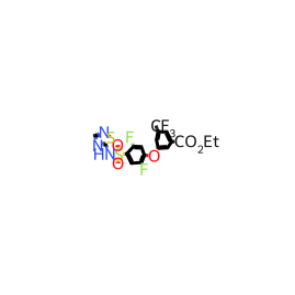 CCOC(=O)c1cc(Oc2cc(F)c(S(=O)(=O)Nc3ncns3)cc2F)cc(C(F)(F)F)c1